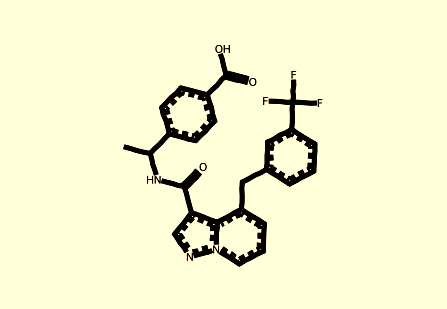 CC(NC(=O)c1cnn2cccc(Cc3cccc(C(F)(F)F)c3)c12)c1ccc(C(=O)O)cc1